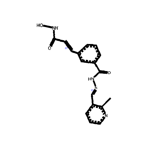 Cc1ncccc1/C=N/NC(=O)c1cccc(/C=C/C(=O)NO)c1